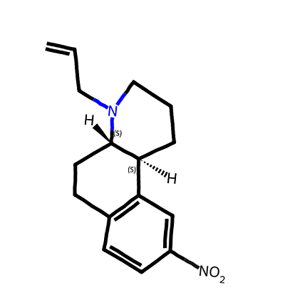 C=CCN1CCC[C@H]2c3cc([N+](=O)[O-])ccc3CC[C@@H]21